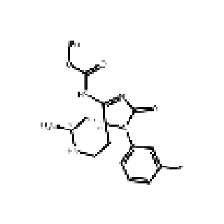 C[C@H]1C[C@]2(CCN1)C(NC(=O)OC(C)(C)C)=NC(=O)N2c1cccc(F)c1